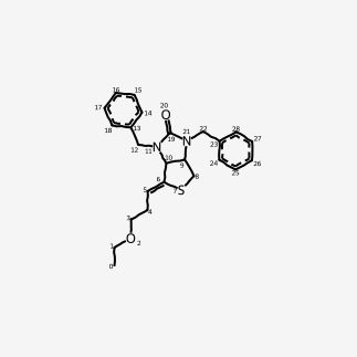 CCOCC/C=C1\SCC2C1N(Cc1ccccc1)C(=O)N2Cc1ccccc1